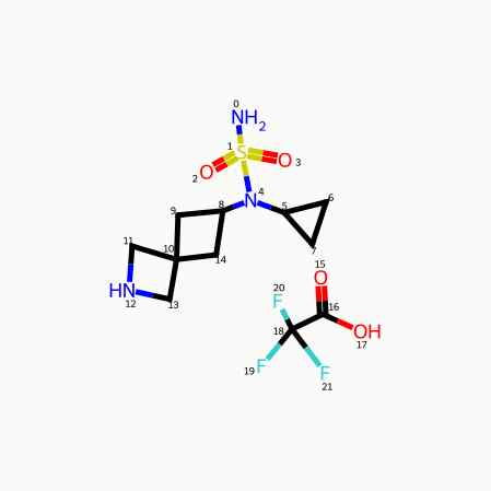 NS(=O)(=O)N(C1CC1)C1CC2(CNC2)C1.O=C(O)C(F)(F)F